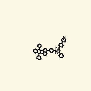 c1ccc(-c2cc(-c3ccc(-c4ccncc4)cc3)nc(-c3ccc(-c4ccc5c6c(cccc46)-c4c-5c(-c5ccccc5)c5ccccc5c4-c4ccccc4)cc3)n2)cc1